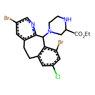 CCOC(=O)C1CN(C2c3ncc(Br)cc3CCc3cc(Cl)cc(Br)c32)CCN1